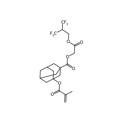 C=C(C)C(=O)OC12CC3CC(C1)CC(C(=O)OCC(=O)OCC(C(F)(F)F)C(F)(F)F)(C3)C2